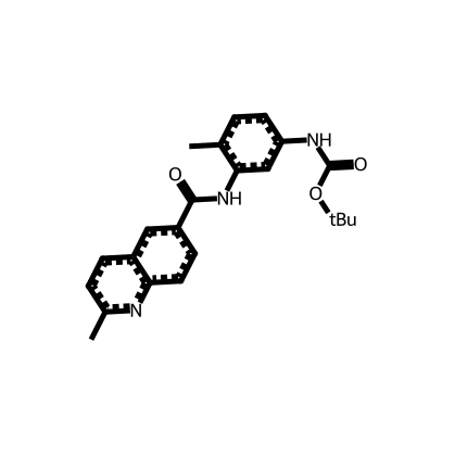 Cc1ccc2cc(C(=O)Nc3cc(NC(=O)OC(C)(C)C)ccc3C)ccc2n1